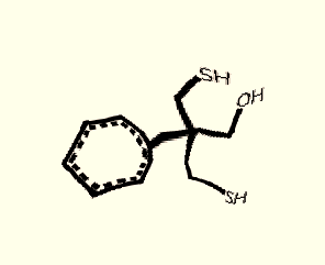 OCC(CS)(CS)c1ccccc1